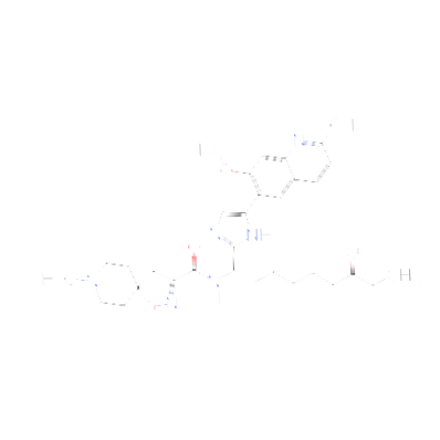 CCC(=O)CCCCC[C@H](NC(=O)C1=NOC2(CCN(C)CC2)C1)c1ncc(-c2cc3ccc(C)nc3cc2OC)[nH]1